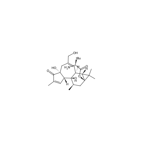 CC1=C[C@H]2[C@@]3(O)[C@H](C)C[C@]4(OC(=O)[C@@H](N)C(C)(C)C)[C@H]([C@@H]3C=C(CO)C[C@]2(O)C1=O)C4(C)C